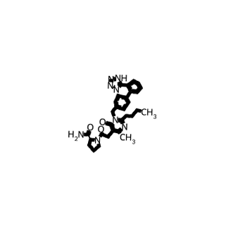 CCCCc1nc(C)c(CC(=O)N2CCC[C@H]2C(N)=O)c(=O)n1Cc1ccc(-c2ccccc2-c2nnn[nH]2)cc1